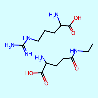 CCNC(=O)CCC(N)C(=O)O.N=C(N)NCCCC(N)C(=O)O